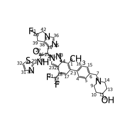 Cc1c(-c2ccc(CN3CCC(O)CC3)cc2)cc(C(F)F)c2cn(C(C(=O)Nc3nccs3)c3ncn4c3C[C@@H](F)C4)nc12